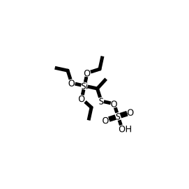 CCO[Si](OCC)(OCC)C(C)SOS(=O)(=O)O